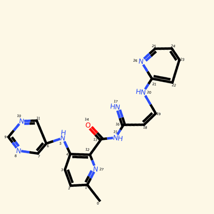 Cc1ccc(Nc2cncnc2)c(C(=O)NC(=N)/C=C\Nc2ccccn2)n1